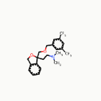 CN(C)CCC1(COCc2cc(C(F)(F)F)cc(C(F)(F)F)c2)OCc2ccccc21